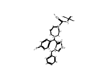 CC(C)(C)OC(=O)N1CCCN(C(c2ccc(F)cc2)c2nncn2Cc2ccccc2)CC1